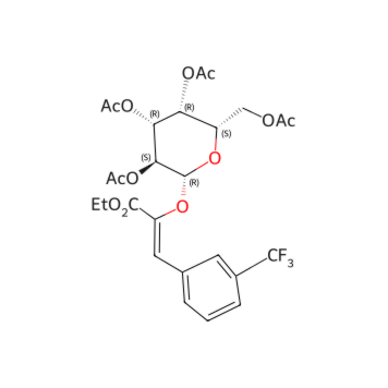 CCOC(=O)C(=Cc1cccc(C(F)(F)F)c1)O[C@H]1O[C@@H](COC(C)=O)[C@@H](OC(C)=O)[C@@H](OC(C)=O)[C@@H]1OC(C)=O